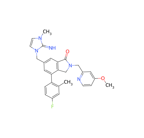 COc1ccnc(CN2Cc3c(cc(Cn4ccn(C)c4=N)cc3-c3ccc(F)cc3C)C2=O)c1